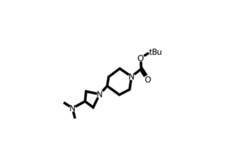 CN(C)C1CN(C2CCN(C(=O)OC(C)(C)C)CC2)C1